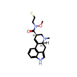 CON(CCF)C(=O)[C@@H]1C=C2c3cccc4[nH]cc(c34)C[C@H]2N(C)C1